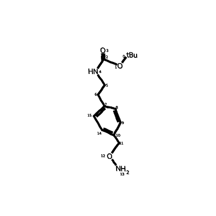 CC(C)(C)OC(=O)NCCc1ccc(CON)cc1